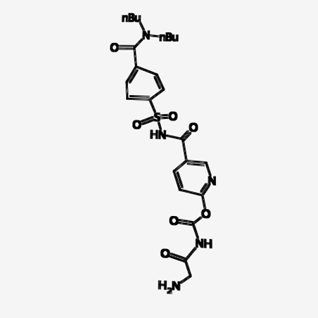 CCCCN(CCCC)C(=O)c1ccc(S(=O)(=O)NC(=O)c2ccc(OC(=O)NC(=O)CN)nc2)cc1